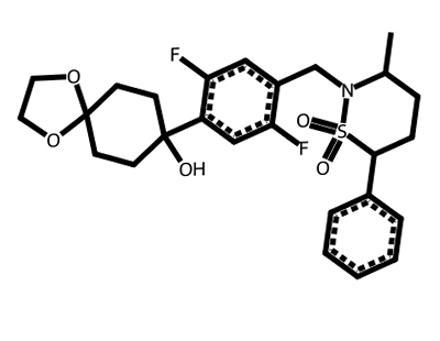 CC1CCC(c2ccccc2)S(=O)(=O)N1Cc1cc(F)c(C2(O)CCC3(CC2)OCCO3)cc1F